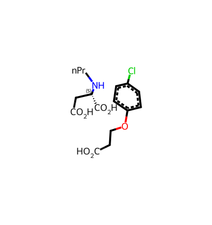 CCCN[C@@H](CC(=O)O)C(=O)O.O=C(O)CCOc1ccc(Cl)cc1